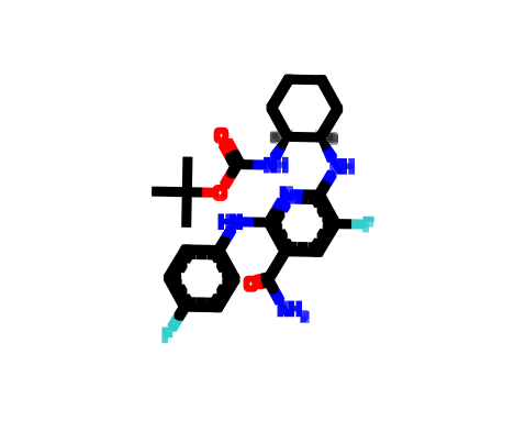 CC(C)(C)OC(=O)N[C@H]1CCCC[C@H]1Nc1nc(Nc2ccc(F)cc2)c(C(N)=O)cc1F